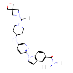 CC(N1CCC(Nc2ccc(-n3ccc4cc(C(=O)N(C)C)ccc43)nc2)CC1)N1CC2(COC2)C1